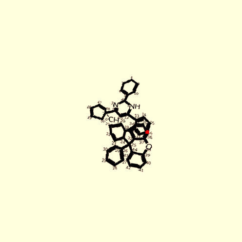 C[C@@]1(C2=NC(C3=CCCC=C3)NC(c3ccccc3C3C=CC=CC3C3(c4ccccc4)c4ccccc4Oc4ccccc43)=C2)C=CC=CC1